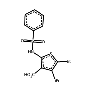 CCc1sc(NS(=O)(=O)c2ccccc2)c(C(=O)O)c1C(C)C